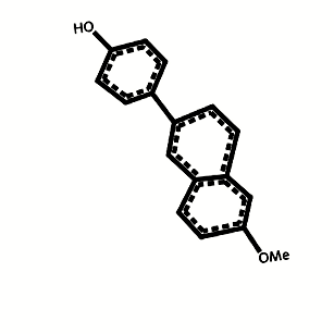 COc1ccc2cc(-c3ccc(O)cc3)ccc2c1